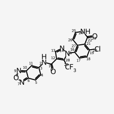 O=C(Nc1ccc2nonc2c1)c1cnn(-c2ccc(Cl)c3c(=O)[nH]ccc23)c1C(F)(F)F